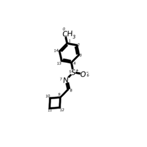 Cc1ccc([S+]([O-])N=CC2CCC2)cc1